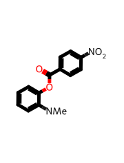 CNc1ccccc1OC(=O)c1ccc([N+](=O)[O-])cc1